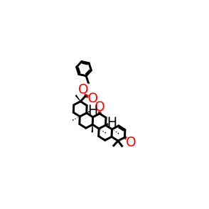 CC1(C)C(=O)C=C[C@@]2(C)C1CC[C@]1(C)[C@@H]2CC(=O)C2[C@@H]3C[C@@](C)(C(=O)OCc4ccccc4)CC[C@]3(C)CC[C@]21C